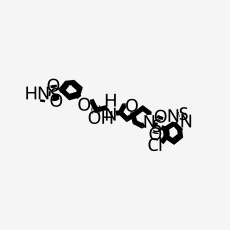 CNS(=O)(=O)c1cccc(OC[C@@H](O)CNC2COC3(CCN(S(=O)(=O)c4c(Cl)ccc5nsnc45)CC3)C2)c1